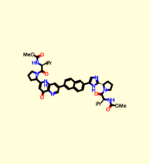 COC(=O)N[C@H](C(=O)N1CCCC1c1cc(=O)c2ncc(-c3ccc4cc(-c5cnc([C@@H]6CCCN6C(=O)[C@@H](NC(=O)OC)C(C)C)[nH]5)ccc4c3)cc2[nH]1)C(C)C